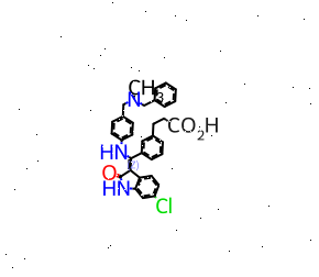 CN(Cc1ccccc1)Cc1ccc(N/C(=C2\C(=O)Nc3cc(Cl)ccc32)c2cccc(CCC(=O)O)c2)cc1